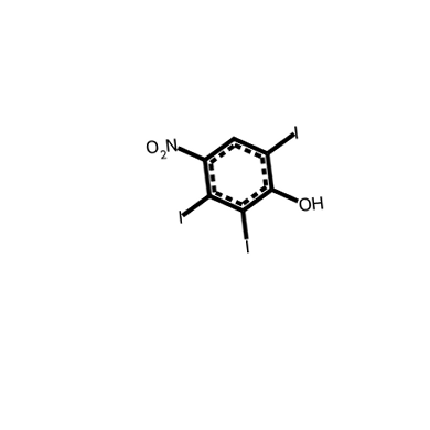 O=[N+]([O-])c1cc(I)c(O)c(I)c1I